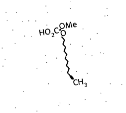 CC#CCCCCCCCCCCCOC(OC)C(=O)O